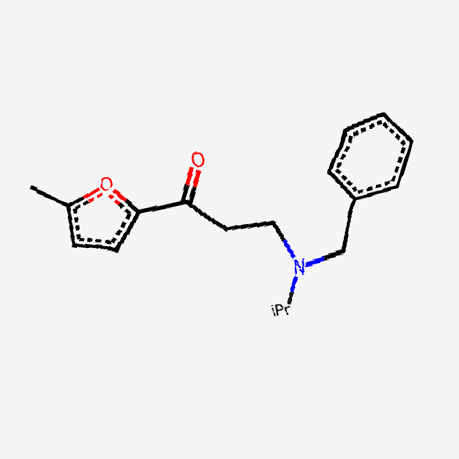 Cc1ccc(C(=O)CCN(Cc2ccccc2)C(C)C)o1